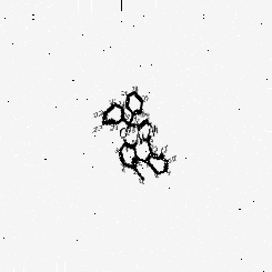 Cc1ccc2c3c1c1ccccc1c1ncc(n13)C(c1ccccc1)(c1ccccc1)O2